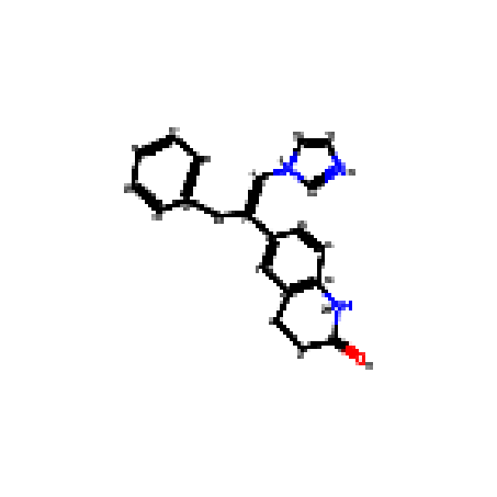 O=C1CCc2cc(/C(=C\n3ccnc3)Cc3ccccc3)ccc2N1